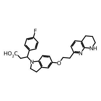 O=C(O)CC(c1ccc(F)cc1)N1CCc2cc(OCCc3ccc4c(n3)NCCC4)ccc21